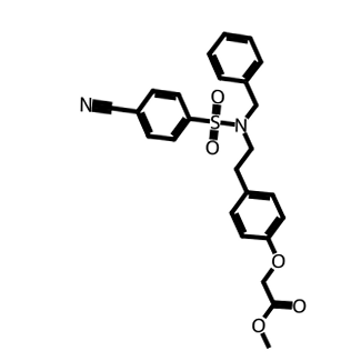 COC(=O)COc1ccc(CCN(Cc2ccccc2)S(=O)(=O)c2ccc(C#N)cc2)cc1